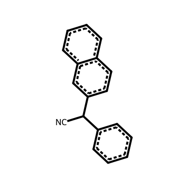 N#CC(c1ccccc1)c1ccc2ccccc2c1